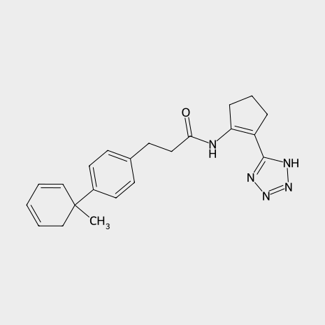 CC1(c2ccc(CCC(=O)NC3=C(c4nnn[nH]4)CCC3)cc2)C=CC=CC1